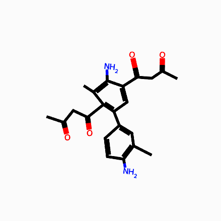 CC(=O)CC(=O)c1cc(-c2ccc(N)c(C)c2)c(C(=O)CC(C)=O)c(C)c1N